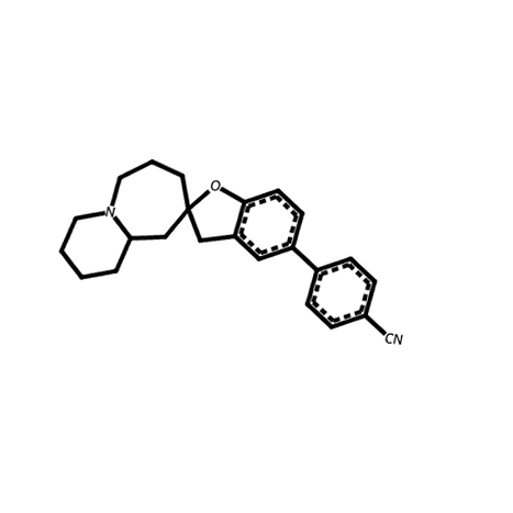 N#Cc1ccc(-c2ccc3c(c2)CC2(CCCN4CCCCC4C2)O3)cc1